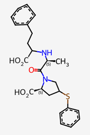 C[C@H](NC(CCc1ccccc1)C(=O)O)C(=O)N1CC(Sc2ccccc2)C[C@H]1C(=O)O